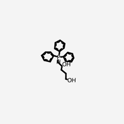 OCCCC(O)C[PH](c1ccccc1)(c1ccccc1)c1ccccc1